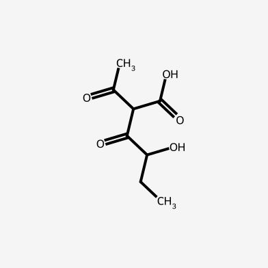 CCC(O)C(=O)C(C(C)=O)C(=O)O